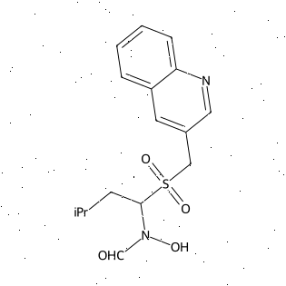 CC(C)CC(N(O)C=O)S(=O)(=O)Cc1cnc2ccccc2c1